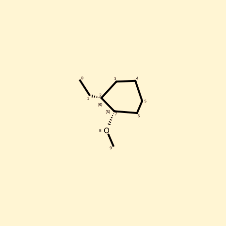 CC[C@@H]1CCCC[C@@H]1OC